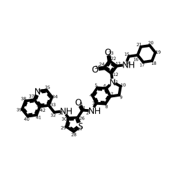 O=C(Nc1ccc2c(c1)CCN2c1c(NCC2CCCCC2)c(=O)c1=O)c1sccc1NCc1ccnc2ccccc12